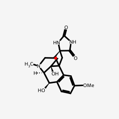 COc1ccc2c(c1)C13CCN(C)[C@H]([C@@H]2O)[C@]1(O)CC[C@@]1(C3)NC(=O)NC1=O